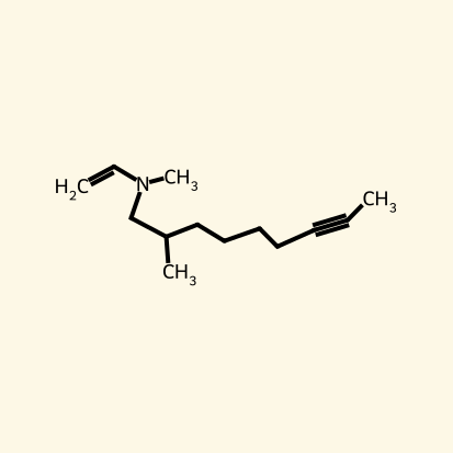 C=CN(C)CC(C)CCCCC#CC